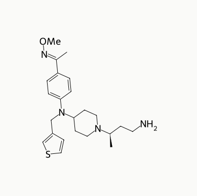 CON=C(C)c1ccc(N(Cc2ccsc2)C2CCN([C@H](C)CCN)CC2)cc1